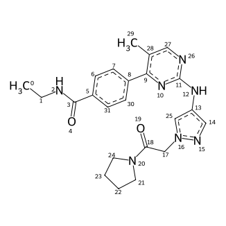 CCNC(=O)c1ccc(-c2nc(Nc3cnn(CC(=O)N4CCCC4)c3)ncc2C)cc1